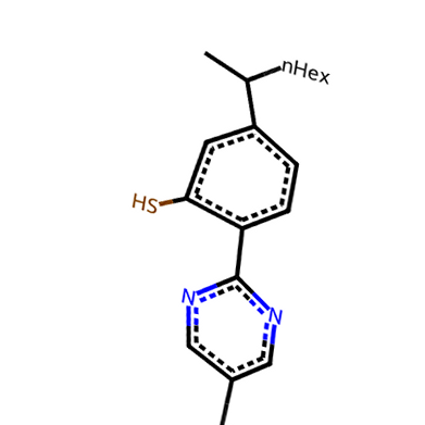 CCCCCCCCCc1cnc(-c2ccc(C(C)CCCCCC)cc2S)nc1